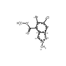 COC(=O)c1c(Br)c(Cl)cc2nn(C)cc12